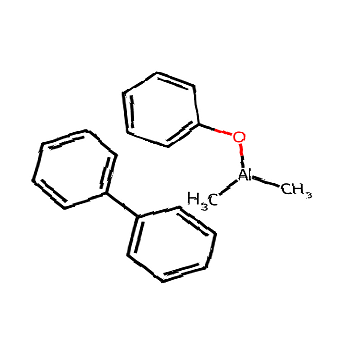 [CH3][Al]([CH3])[O]c1ccccc1.c1ccc(-c2ccccc2)cc1